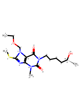 CCOCn1c(SC)nc2c1c(=O)n(CCCC[C@@H](C)O)c(=O)n2C